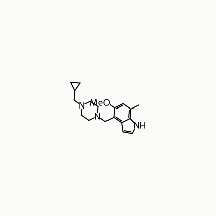 COc1cc(C)c2[nH]ccc2c1CN1CCN(CC2CC2)CC1